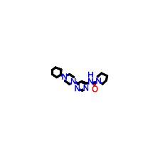 O=C(Nc1cc(N2CCN(C3CCCCC3)CC2)ncn1)N1CCCCC1